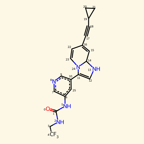 O=C(NCC(F)(F)F)Nc1cncc(C2=CNC3C=C(C#CC4CC4)C=CN23)c1